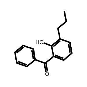 CCCc1cccc(C(=O)c2ccccc2)c1O